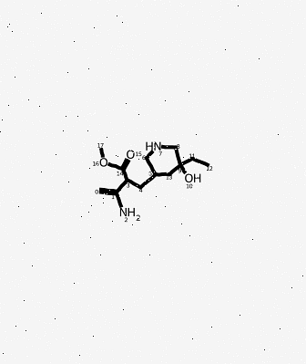 C=C(N)C(CC1CNCC(O)(CC)C1)C(=O)OC